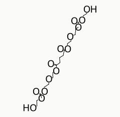 O=C(CCCC(=O)OCCOCCOC(=O)OCCO)OCCOCCOC(=O)OCCO